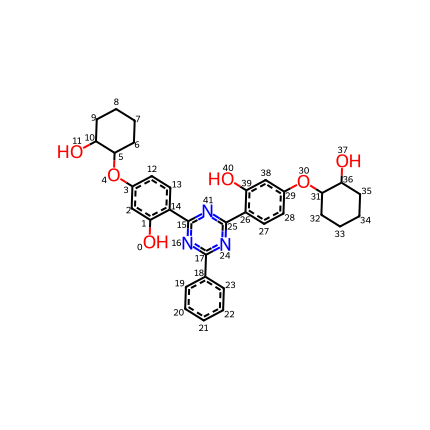 Oc1cc(OC2CCCCC2O)ccc1-c1nc(-c2ccccc2)nc(-c2ccc(OC3CCCCC3O)cc2O)n1